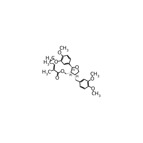 CC=C(C)C(=O)OC[C@H]1[C@@H](Cc2ccc(OC)c(OC)c2)CO[C@@H]1c1ccc(OC)c(OC)c1